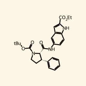 CCOC(=O)c1cc2cc(NC(=O)[C@@H]3[C@H](c4ccccc4)CCN3C(=O)OC(C)(C)C)ccc2[nH]1